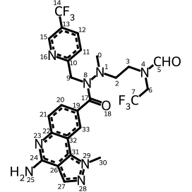 CN(CCN(C=O)CC(F)(F)F)N(Cc1ccc(C(F)(F)F)cn1)C(=O)c1ccc2nc(N)c3cnn(C)c3c2c1